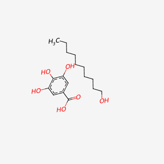 CCCCCCCCCCO.O=C(O)c1cc(O)c(O)c(O)c1